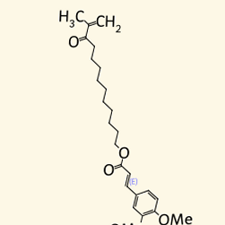 C=C(C)C(=O)CCCCCCCCCCOC(=O)/C=C/c1ccc(OC)c(OC)c1